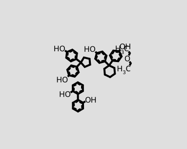 CCOCC.Oc1ccc(C2(c3ccc(O)cc3)CCCC2)cc1.Oc1ccc(C2(c3ccc(O)cc3)CCCCC2)cc1.Oc1ccccc1-c1ccccc1O